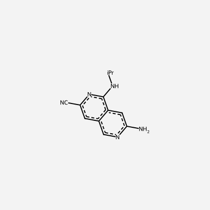 CC(C)Nc1nc(C#N)cc2cnc(N)cc12